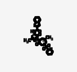 CC(C)C[C@H](NC(=O)c1cc2ccccc2s1)C(=O)N[C@@H]1C[C@@H](C)CN(S(=O)(=O)c2ccccn2)CC1=O